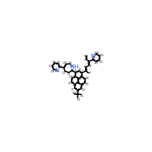 C=C/C(=C\C=C(/C)c1cc(C2CCC(c3ccccn3)=CCN2)c2ccc3cc(C(C)(C)C)cc4ccc1c2c43)c1ccccn1